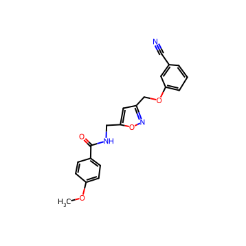 COc1ccc(C(=O)NCc2cc(COc3cccc(C#N)c3)no2)cc1